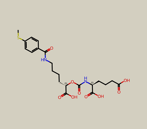 CSc1ccc(C(=O)NCCCC[C@H](OC(=O)N[C@@H](CCCC(=O)O)C(=O)O)C(=O)O)cc1